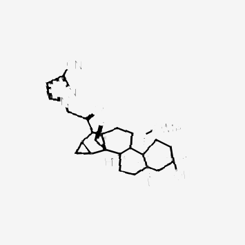 C=CC12C3CC3C(C(=O)Cn3ccc(C#N)n3)[C@@]1(C)CCC1[C@H]2CC[C@@H]2C[C@](C)(O)CC[C@]12COC